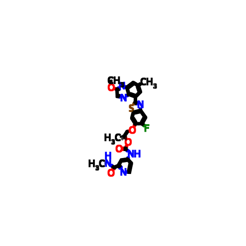 CNC(=O)c1cc(NC(=O)O[C@H](C)COc2cc3sc(-c4cc(C)cc5nc(OC)cnc45)nc3cc2F)ccn1